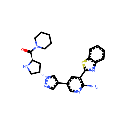 Nc1ncc(-c2cnn([C@@H]3CN[C@@H](C(=O)N4CCCCC4)C3)c2)cc1-c1nc2ccccc2s1